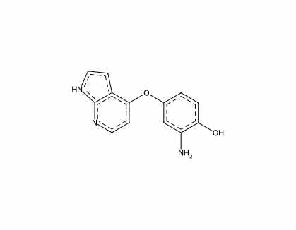 Nc1cc(Oc2ccnc3[nH]ccc23)ccc1O